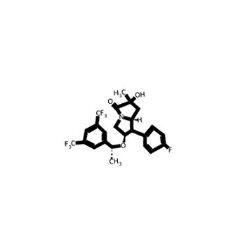 C[C@@H](O[C@H]1CN2C(=O)C(C)(O)C[C@H]2C1c1ccc(F)cc1)c1cc(C(F)(F)F)cc(C(F)(F)F)c1